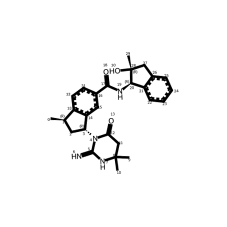 C[C@@H]1C[C@@H](N2C(=N)NC(C)(C)CC2=O)c2cc(C(=O)N[C@@H]3c4ccccc4C[C@@]3(C)O)ccc21